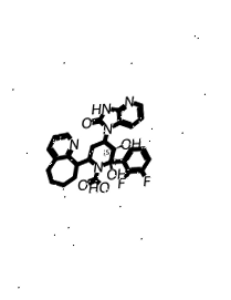 O=C(O)N1C(C2CCCCc3cccnc32)CC(n2c(=O)[nH]c3ncccc32)[C@H](O)[C@]1(O)c1cccc(F)c1F